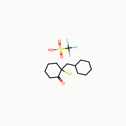 O=C1CCCCC1(S)CC1CCCCC1.O=S(=O)(O)C(F)(F)F